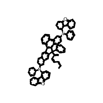 C=C(/C=C\C=C/C)C1(c2ccccc2)c2cc3cc(N(c4ccccc4)c4cccc5oc6ccccc6c45)ccc3cc2-c2c1c1ccc(N(c3ccccc3)c3cccc4oc5ccccc5c34)cc1c1ccccc21